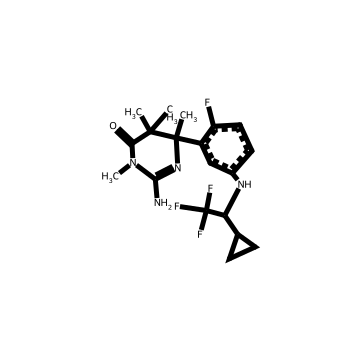 CN1C(=O)C(C)(C)C(C)(c2cc(NC(C3CC3)C(F)(F)F)ccc2F)N=C1N